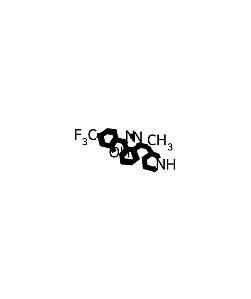 CC(c1nnc(-c2ccc(C(F)(F)F)cc2O)c2ccccc12)C1CCCNC1